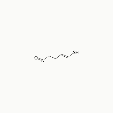 O=NCC/C=C/S